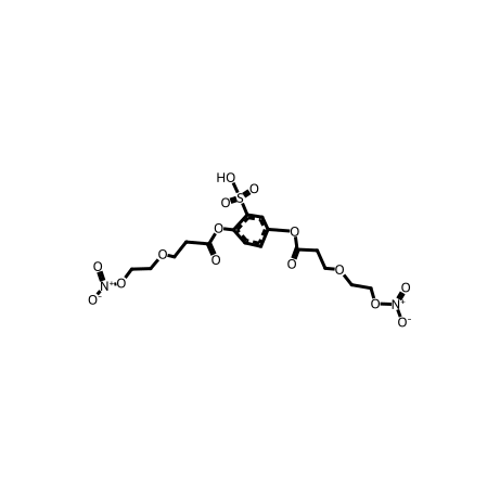 O=C(CCOCCO[N+](=O)[O-])Oc1ccc(OC(=O)CCOCCO[N+](=O)[O-])c(S(=O)(=O)O)c1